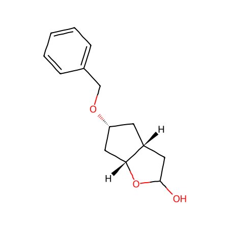 OC1C[C@H]2C[C@@H](OCc3ccccc3)C[C@H]2O1